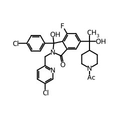 CC(=O)N1CCC(C(C)(O)c2cc(F)c3c(c2)C(=O)N(Cc2ccc(Cl)cn2)C3(O)c2ccc(Cl)cc2)CC1